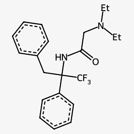 CCN(CC)CC(=O)NC(Cc1ccccc1)(c1ccccc1)C(F)(F)F